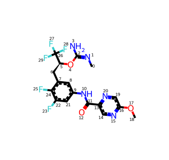 C/N=C(/N)O[C@@H](Cc1cc(NC(=O)c2cnc(OC)cn2)cc(F)c1F)C(F)(F)F